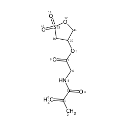 C=C(C)C(=O)NCC(=O)OC1COS(=O)(=O)C1